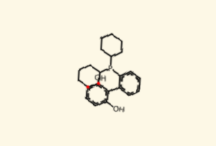 Oc1cccc(O)c1-c1ccccc1P(C1CCCCC1)C1CCCCC1